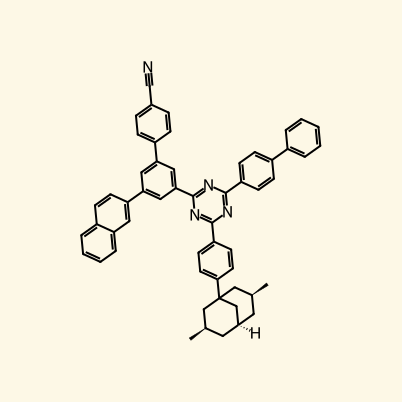 C[C@@H]1C[C@@H]2C[C@H](C)CC(c3ccc(-c4nc(-c5ccc(-c6ccccc6)cc5)nc(-c5cc(-c6ccc(C#N)cc6)cc(-c6ccc7ccccc7c6)c5)n4)cc3)(C1)C2